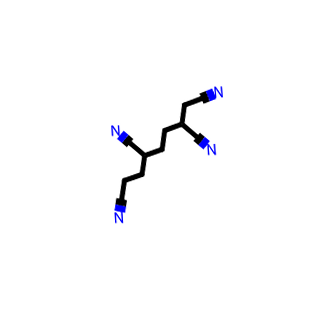 N#CCCC(C#N)CCC(C#N)CC#N